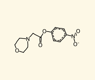 O=C(CN1CCOCC1)Oc1ccc([N+](=O)[O-])cc1